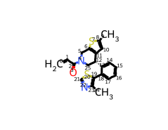 C=CC(=O)N1Cc2sc(C)cc2[C@H](c2ccccc2-c2scnc2C)C1